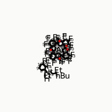 CCCCC(CC)CC[NH+](CC)c1cccc(F)c1F.FC1=C(F)[CH]([Al-]([CH]2C(F)=C(F)c3c(F)c(F)c(F)c(F)c32)([CH]2C(F)=C(F)c3c(F)c(F)c(F)c(F)c32)[CH]2C(F)=C(F)c3c(F)c(F)c(F)c(F)c32)c2c(F)c(F)c(F)c(F)c21